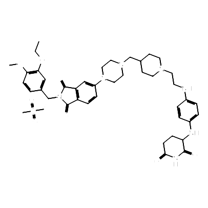 CCOc1cc([C@@H](CS(C)(=O)=O)N2C(=O)c3ccc(N4CCN(CC5CCN(CCNc6ccc(NC7CCC(=O)NC7=O)cc6)CC5)CC4)cc3C2=O)ccc1OC